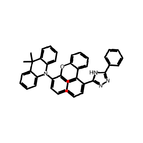 CC1(C)c2ccccc2N(c2ccccc2Oc2ccccc2-c2ccccc2-c2nnc(-c3ccccc3)[nH]2)c2ccccc21